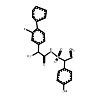 C=CC(c1ccc(O)cc1)S(=O)(=O)NC(=O)C(C)c1ccc(-c2ccccc2)c(F)c1